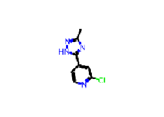 Cc1n[nH]c(-c2ccnc(Cl)c2)n1